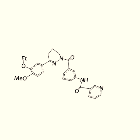 CCOc1cc(C2=NN(C(=O)c3cccc(NC(=O)c4cccnc4)c3)CCC2)ccc1OC